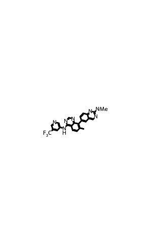 CNc1ncc2cc(-c3c(C)ccc4c(Nc5cncc(C(F)(F)F)c5)ncnc34)ccc2n1